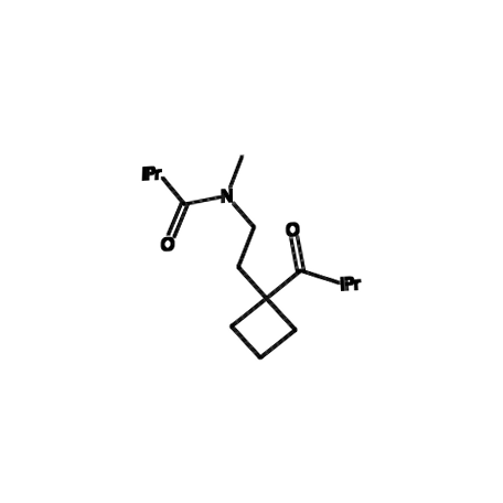 CC(C)C(=O)N(C)CCC1(C(=O)C(C)C)CCC1